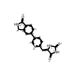 O=C1NC(=S)N/C1=C\c1ccc(-c2ccc3c(c2)CNC3=O)cn1